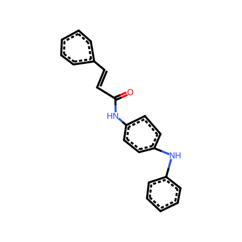 O=C(C=Cc1ccccc1)Nc1ccc(Nc2ccccc2)cc1